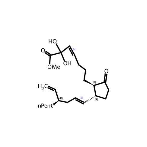 C=C[C@@H](C/C=C/[C@H]1CCC(=O)[C@@H]1CCC/C=C\C(O)(O)C(=O)OC)CCCCC